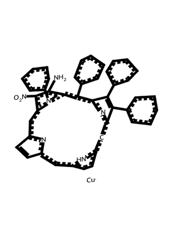 Nc1c([N+](=O)[O-])c2cc3nc(cc4ccc(cc5nc(c(-c6ccccc6)c1n2-c1ccccc1)C(c1ccccc1)=C5c1ccccc1)[nH]4)C=C3.[Cu]